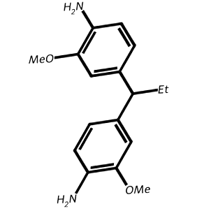 CCC(c1ccc(N)c(OC)c1)c1ccc(N)c(OC)c1